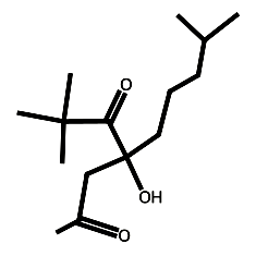 CC(=O)CC(O)(CCCC(C)C)C(=O)C(C)(C)C